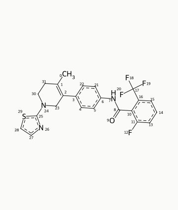 CC1=C(c2ccc(NC(=O)c3c(F)cccc3C(F)(F)F)cc2)CN(c2nccs2)CC1